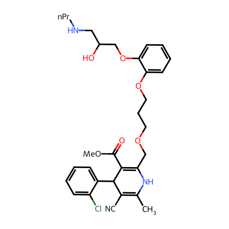 CCCNCC(O)COc1ccccc1OCCCOCC1=C(C(=O)OC)C(c2ccccc2Cl)C(C#N)=C(C)N1